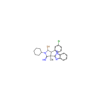 N#CC1(c2nc3ccccc3[nH]2)C(=N)N(C2CCCCC2)C(S)C1c1cccc(Br)c1